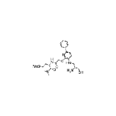 CSCCC(NC(=O)COc1nc(-c2ccccc2)ccc1NCC(N)CS)C(=O)N(C)C